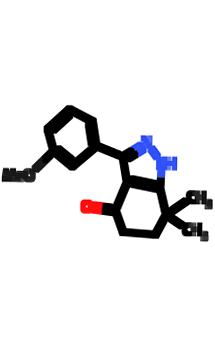 COc1cccc(-c2n[nH]c3c2C(=O)CCC3(C)C)c1